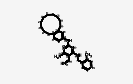 Cc1cnccc1CNc1nc(Nc2ccc3c(c2)CCCCCCCCCC3)nc(N)c1C=N